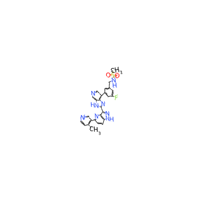 Cc1ccncc1-c1ccc2[nH]nc(-c3nc4c(-c5cc(F)cc(CNS(C)(=O)=O)c5)cncc4[nH]3)c2n1